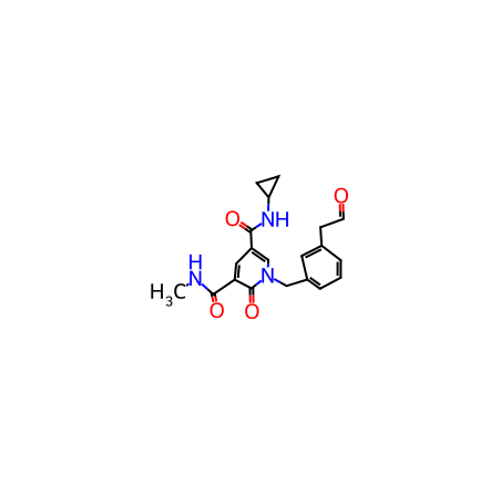 CNC(=O)c1cc(C(=O)NC2CC2)cn(Cc2cccc(CC=O)c2)c1=O